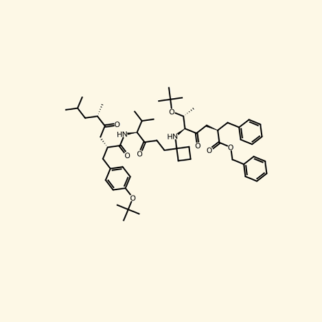 CC(C)C[C@H](C)C(=O)C[C@@H](Cc1ccc(OC(C)(C)C)cc1)C(=O)N[C@H](C(=O)CCC1(N[C@H](C(=O)C[C@@H](Cc2ccccc2)C(=O)OCc2ccccc2)[C@@H](C)OC(C)(C)C)CCC1)C(C)C